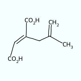 C=C(C)C/C(=C\C(=O)O)C(=O)O